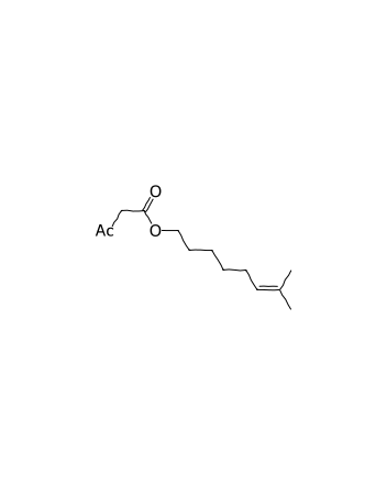 CC(=O)CC(=O)OCCCCCC=C(C)C